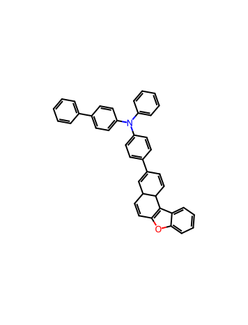 C1=CC2c3c(oc4ccccc34)C=CC2C=C1c1ccc(N(c2ccccc2)c2ccc(-c3ccccc3)cc2)cc1